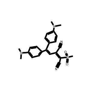 CN(C)c1ccc(C(=C/C(C#N)=C(\C#N)S(C)(=O)=O)c2ccc(N(C)C)cc2)cc1